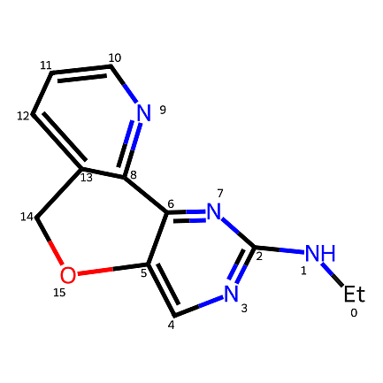 CCNc1ncc2c(n1)-c1ncccc1CO2